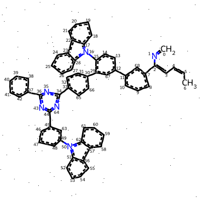 C=N/C(=C\C=C/C)c1cccc(-c2ccc(-n3c4ccccc4c4ccccc43)c(-c3ccc(-c4nc(-c5ccccc5)nc(-c5cccc(-n6c7ccccc7c7ccccc76)c5)n4)cc3)c2)c1